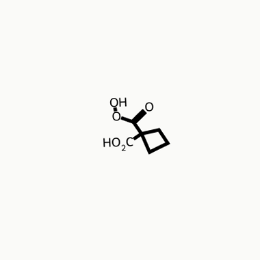 O=C(O)C1(C(=O)OO)CCC1